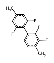 Cc1cc(F)c(-c2ccc(C)c(F)c2F)c(F)c1